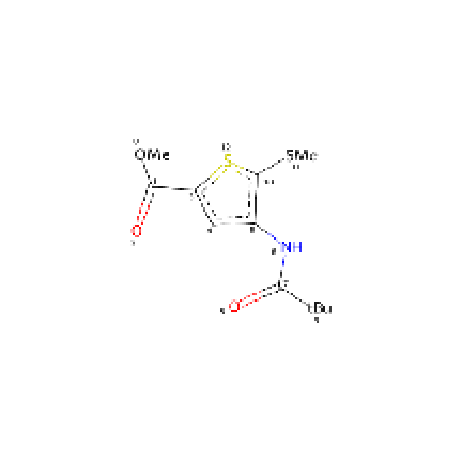 COC(=O)c1cc(NC(=O)C(C)(C)C)c(SC)s1